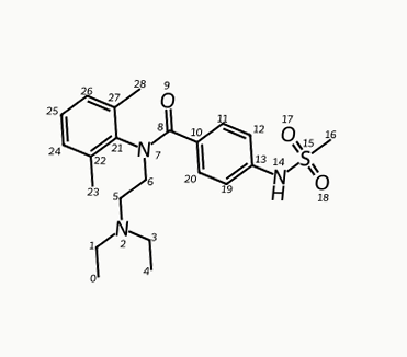 CCN(CC)CCN(C(=O)c1ccc(NS(C)(=O)=O)cc1)c1c(C)cccc1C